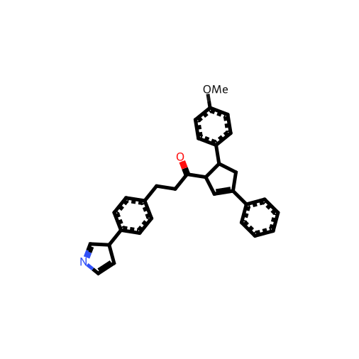 COc1ccc(C2CC(c3ccccc3)=CC2C(=O)CCc2ccc(C3C=CN=C3)cc2)cc1